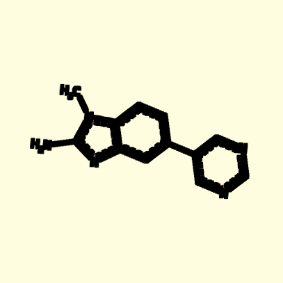 Cn1c(N)nc2cc(-c3cncnc3)ccc21